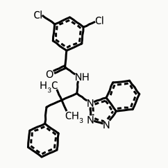 CC(C)(Cc1ccccc1)C(NC(=O)c1cc(Cl)cc(Cl)c1)n1nnc2ccccc21